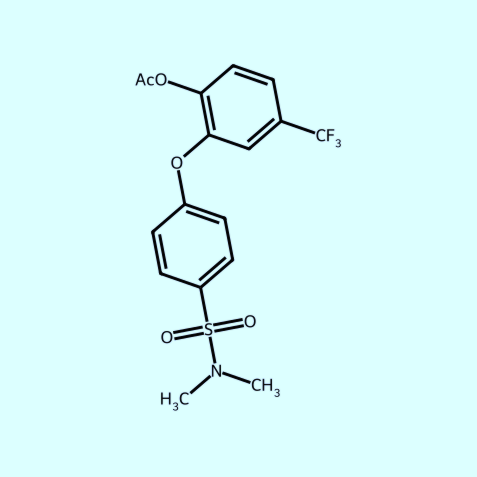 CC(=O)Oc1ccc(C(F)(F)F)cc1Oc1ccc(S(=O)(=O)N(C)C)cc1